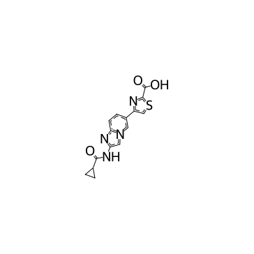 O=C(O)c1nc(-c2ccc3nc(NC(=O)C4CC4)cn3c2)cs1